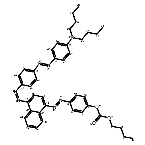 CCCCOC(=O)Oc1ccc(N=Nc2ccc(/N=N\c3ccc(N=Nc4ccc(N(CCCC)CCCC)cc4)cc3)c3ccccc23)cc1